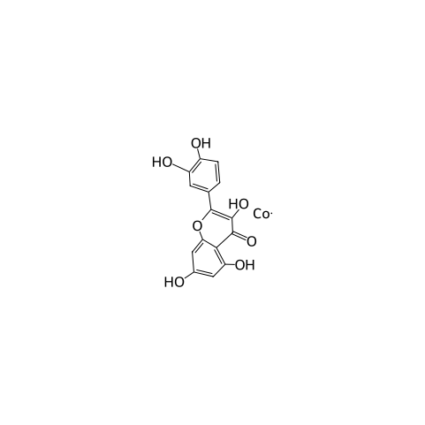 O=c1c(O)c(-c2ccc(O)c(O)c2)oc2cc(O)cc(O)c12.[Co]